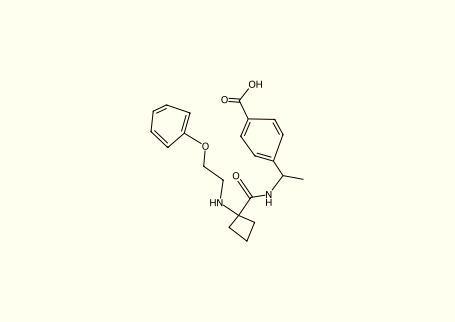 CC(NC(=O)C1(NCCOc2ccccc2)CCC1)c1ccc(C(=O)O)cc1